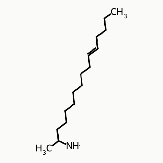 CCCC/C=C/CCCCCCCCC(C)[NH]